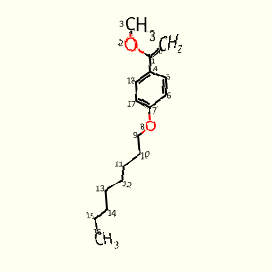 C=C(OC)c1ccc(OCCCCCCCC)cc1